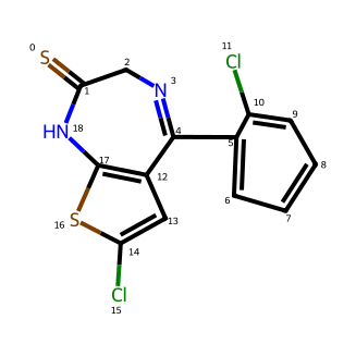 S=C1CN=C(c2ccccc2Cl)c2cc(Cl)sc2N1